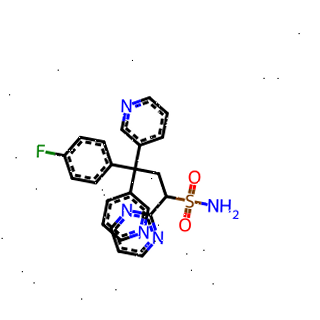 NS(=O)(=O)C(CC(c1ccc(F)cc1)(c1cccnc1)c1cccnc1)c1ncccn1